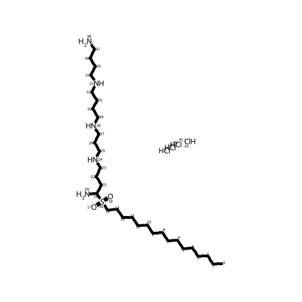 CCCCCCCCCCCCCCCCS(=O)(=O)C(N)CCCNCCCNCCCCNCCCCN.Cl.Cl.Cl.Cl